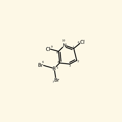 Clc1ccc(B(Br)Br)c(Cl)n1